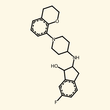 OC1c2cc(F)ccc2CC1NC1CCN(c2cccc3c2OCCC3)CC1